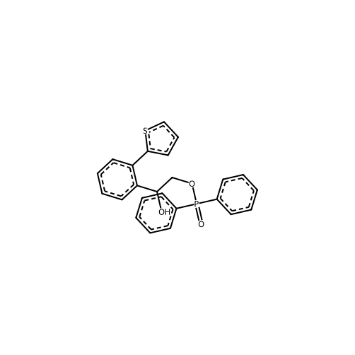 O=P(OCC(O)c1ccccc1-c1cccs1)(c1ccccc1)c1ccccc1